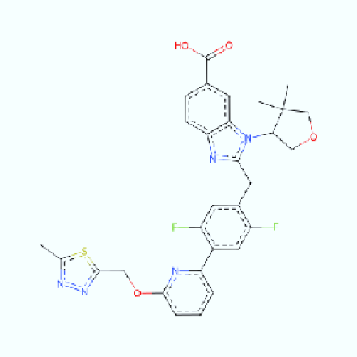 Cc1nnc(COc2cccc(-c3cc(F)c(Cc4nc5ccc(C(=O)O)cc5n4C4COCC4(C)C)cc3F)n2)s1